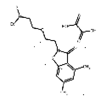 CCN(CC)CCOCCn1sc2cc(C)cc(C)c2c1=O.O=C(O)C(=O)O